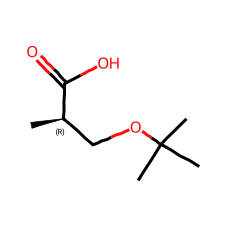 C[C@H](COC(C)(C)C)C(=O)O